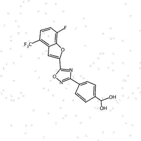 OC(O)c1ccc(-c2noc(-c3cc4c(C(F)(F)F)ccc(F)c4o3)n2)cc1